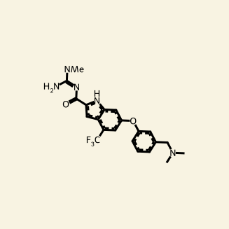 CNC(N)=NC(=O)c1cc2c(C(F)(F)F)cc(Oc3cccc(CN(C)C)c3)cc2[nH]1